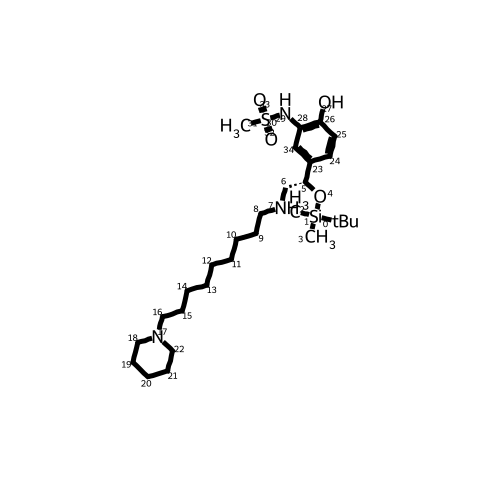 CC(C)(C)[Si](C)(C)O[C@H](CNCCCCCCCCCN1CC[CH]CC1)c1ccc(O)c(NS(C)(=O)=O)c1